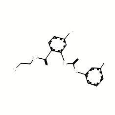 NCCNC(=O)c1ccc(Br)cc1NC(=O)Nc1cccc(Cl)c1